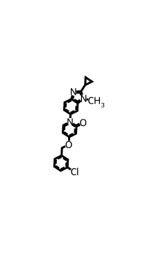 Cn1c(C2CC2)nc2ccc(-n3ccc(OCc4cccc(Cl)c4)cc3=O)cc21